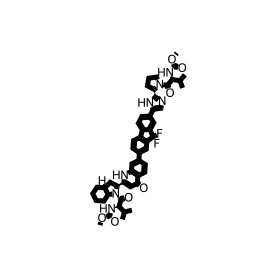 COC(=O)N[C@H](C(=O)N1CCC[C@H]1c1ncc(-c2ccc3c(c2)C(F)(F)c2cc(-c4ccc5c(=O)cc([C@@H]6C[C@@H]7CCCCC7N6C(=O)[C@@H](NC(=O)OC)C(C)C)[nH]c5c4)ccc2-3)[nH]1)C(C)C